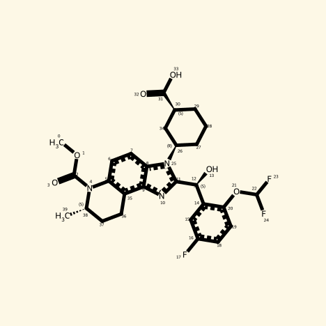 COC(=O)N1c2ccc3c(nc([C@@H](O)c4cc(F)ccc4OC(F)F)n3[C@@H]3CCC[C@H](C(=O)O)C3)c2CC[C@@H]1C